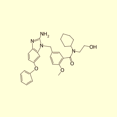 COc1ccc(Cn2c(N)nc3ccc(Oc4ccccc4)cc32)cc1C(=O)N(CCO)C1CCCCC1